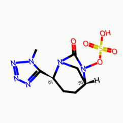 Cn1nnnc1[C@@H]1CC[C@@H]2CN1C(=O)N2OS(=O)(=O)O